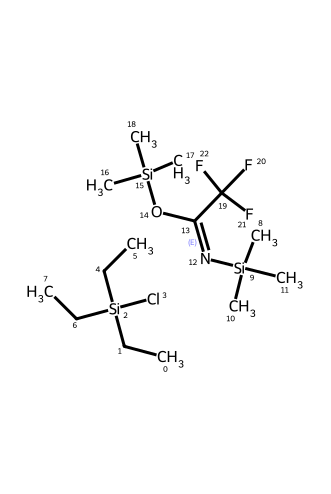 CC[Si](Cl)(CC)CC.C[Si](C)(C)/N=C(/O[Si](C)(C)C)C(F)(F)F